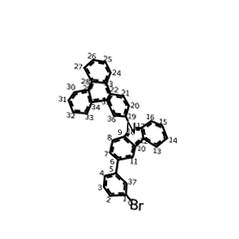 Brc1cccc(-c2ccc3c(c2)c2ccccc2n3-c2ccc3c4ccccc4c4ccccc4c3c2)c1